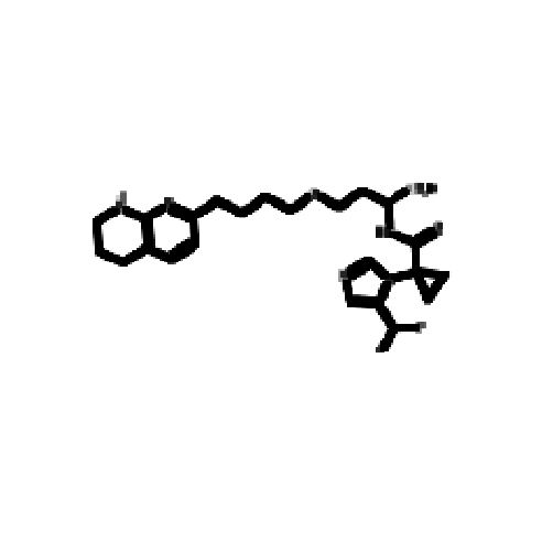 O=C(O)[C@H](CCOCCCCc1ccc2c(n1)NCCC2)NC(=O)C1(n2cncc2C(F)F)CC1